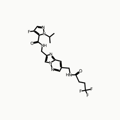 CC(C)n1ncc(F)c1C(=O)NCc1cn2ncc(CNC(=O)CCC(F)(F)F)cc2n1